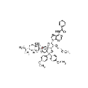 C=C(C)[C@@H]1CC[C@]2(C)S[P@](=S)(OC[C@H]3O[C@@H](n4cnc5c(NC(=O)c6ccccc6)ncnc54)[C@H](OCCOC)[C@@H]3OC(c3ccccc3)(c3ccc(OC)cc3)c3ccc(OC)cc3)O[C@H]2C1